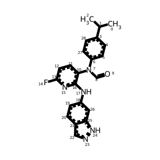 CC(C)c1ccc(N(C=O)c2ccc(F)nc2Nc2ccc3cn[nH]c3c2)cc1